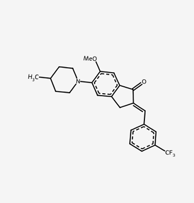 COc1cc2c(cc1N1CCC(C)CC1)CC(=Cc1cccc(C(F)(F)F)c1)C2=O